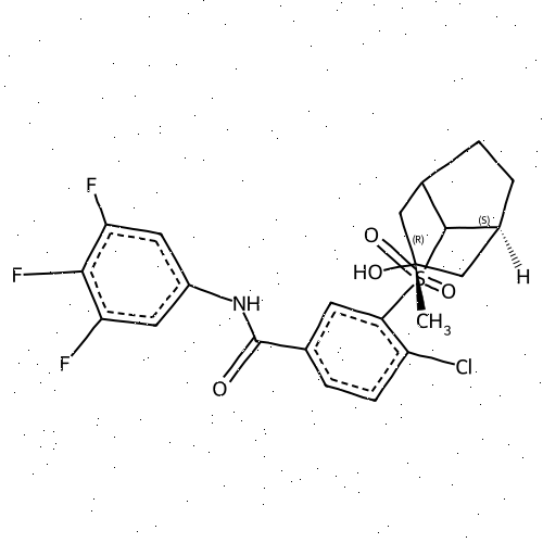 C[C@@]1(O)CC2CC[C@@H](C1)C2S(=O)(=O)c1cc(C(=O)Nc2cc(F)c(F)c(F)c2)ccc1Cl